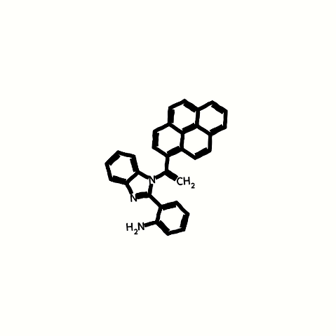 C=C(c1ccc2ccc3cccc4ccc1c2c34)n1c(-c2ccccc2N)nc2ccccc21